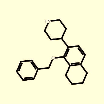 c1ccc(COc2c(C3CCNCC3)ccc3c2CCCC3)cc1